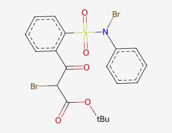 CC(C)(C)OC(=O)C(Br)C(=O)c1ccccc1S(=O)(=O)N(Br)c1ccccc1